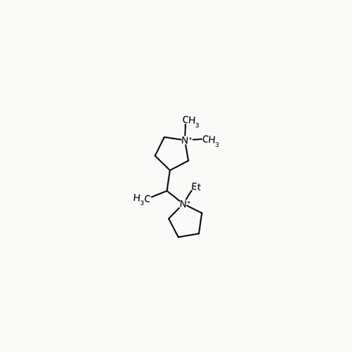 CC[N+]1(C(C)C2CC[N+](C)(C)C2)CCCC1